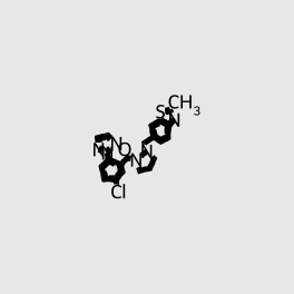 Cc1nc2ccc(CN3CCCN3C(=O)c3cc(Cl)ccc3-n3nccn3)cc2s1